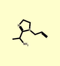 C=CCN1CCN=C1C(C)N